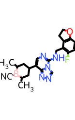 CC1CC(c2cnc(NCc3c(F)ccc4c3CCO4)n3cnnc23)CC(C)B1C#N